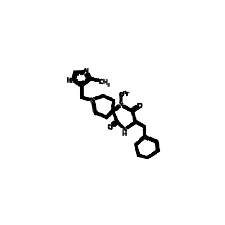 CCCN1C(=O)C(CC2CCCCC2)NC(=O)C12CCN(Cc1[nH]cnc1C)CC2